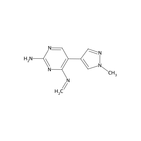 C=Nc1nc(N)ncc1-c1cnn(C)c1